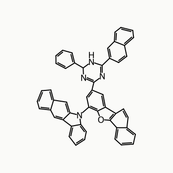 c1ccc(C2N=C(c3cc(-n4c5ccccc5c5cc6ccccc6cc54)c4oc5c6ccccc6ccc5c4c3)N=C(c3ccc4ccccc4c3)N2)cc1